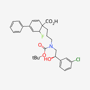 CC(C)(C)OC(=O)N(CCCC1(C(=O)O)C=CC(c2ccccc2)=CC1F)C[C@H](O)c1cccc(Cl)c1